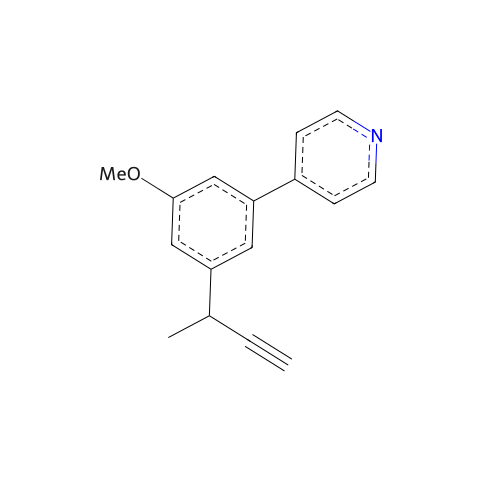 C#CC(C)c1cc(OC)cc(-c2ccncc2)c1